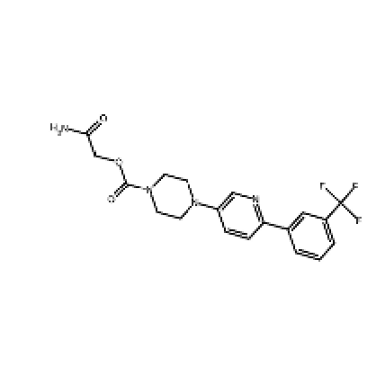 NC(=O)COC(=O)N1CCN(c2ccc(-c3cccc(C(F)(F)F)c3)nc2)CC1